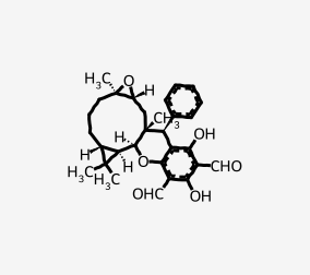 CC1(C)[C@H]2[C@H]1CCC[C@@]1(C)O[C@@H]1C[C@]1(C)[C@@H](c3ccccc3)c3c(O)c(C=O)c(O)c(C=O)c3O[C@@H]21